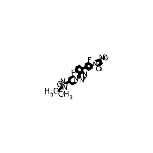 CC(C)c1nc(C2CCN(c3ncnc4c(-c5ccc(N6C[C@@H](N=O)CC6=O)c(F)c5)ccc(F)c34)CC2)no1